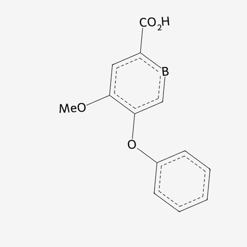 COc1cc(C(=O)O)bcc1Oc1ccccc1